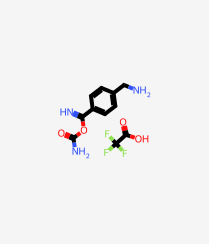 N=C(OC(N)=O)c1ccc(CN)cc1.O=C(O)C(F)(F)F